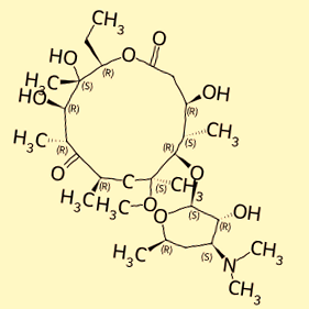 CC[C@H]1OC(=O)C[C@@H](O)[C@H](C)[C@@H](O[C@@H]2O[C@H](C)C[C@H](N(C)C)[C@H]2O)[C@@](C)(OC)C[C@@H](C)C(=O)[C@H](C)[C@@H](O)[C@]1(C)O